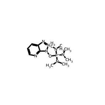 CN(C)[P+](On1nnc2cccnc21)(N(C)C)N(C)C